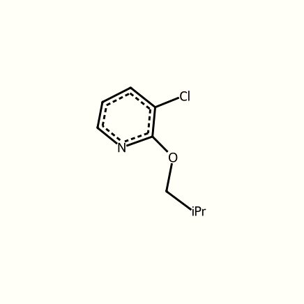 CC(C)COc1ncccc1Cl